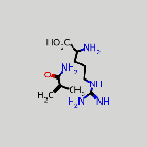 C=C(C)C(N)=O.N=C(N)NCCCC(N)C(=O)O